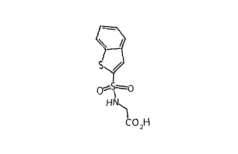 O=C(O)CNS(=O)(=O)c1cc2ccccc2s1